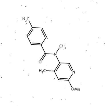 COc1cc(C)c(N(C)C(=O)c2ccc(C)cc2)cn1